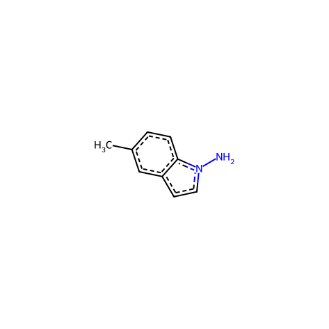 Cc1ccc2c(ccn2N)c1